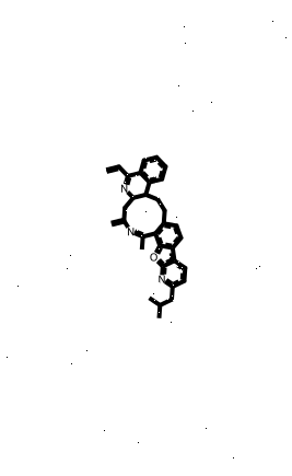 C=CC1=NC2CC(=C)/N=C(/C)c3c(ccc4c3oc3nc(CC(C)C)ccc34)CCC2c2ccccc21